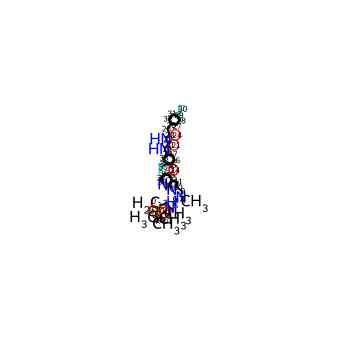 C=C(CN(C)CCN(C)Cc1cc2c(Oc3ccc(NC(=O)NC(=O)Cc4ccc(F)cc4)cc3F)ccnc2[nH]1)S(=O)(=O)C(C)(C)C